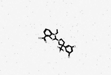 CCN1c2cccc(C(=O)O)c2SC1N1CCC(c2cc(Cl)cc(Cl)c2)(C(F)(F)F)C1